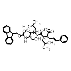 CC(C)C[C@@H](C(=O)NN(CC(C)C)C(=O)[C@@H](CO)NC(=O)OCC1c2ccccc2-c2ccccc21)[C@H](CC=Cc1ccccc1)C(=O)O